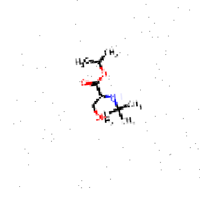 CC(C)OC(=O)[C@H](CO)NC(C)(C)C